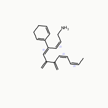 C=C(/C=C\C=C/C)C(=C)/C=C(\C=C/CN)C1=CCCC=C1